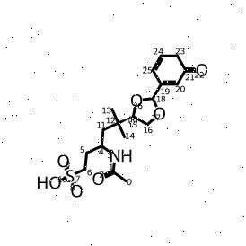 CC(=O)NC(CCS(=O)(=O)O)CC(C)(C)[C@@H]1COC(C2=CC(=O)CC=C2)O1